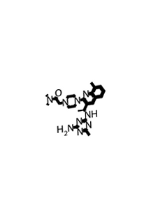 Cc1nc(N)nc(N[C@@H](C)c2cc3cccc(C)c3nc2N2CCN(CC(=O)N(C)C)CC2)n1